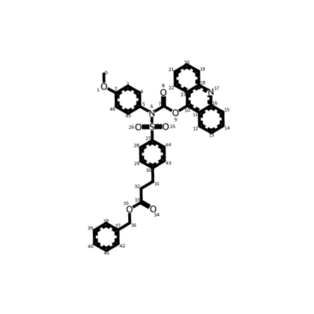 COc1ccc(N(C(=O)Oc2c3ccccc3nc3ccccc23)S(=O)(=O)c2ccc(CCC(=O)OCc3ccccc3)cc2)cc1